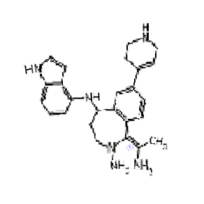 C/C(N)=C1\c2ccc(C3=CCNCC3)cc2C(Nc2cccc3[nH]ccc23)CCN1N